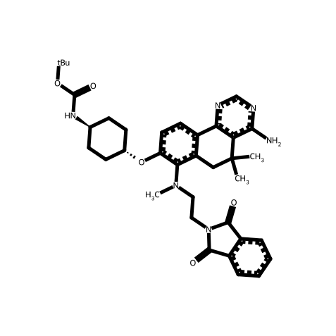 CN(CCN1C(=O)c2ccccc2C1=O)c1c(O[C@H]2CC[C@H](NC(=O)OC(C)(C)C)CC2)ccc2c1CC(C)(C)c1c(N)ncnc1-2